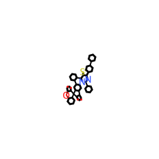 c1ccc(-c2ccc3c(c2)sc2c(-c4ccccc4-c4ccc5c(c4)C4(c6ccccc6Oc6ccccc64)c4ccccc4-5)nc(-c4ccccc4)nc23)cc1